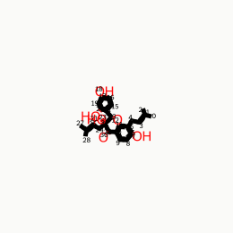 CC(C)=CCc1c(O)ccc2c1OC(c1ccc(O)cc1O)C(O)(CC=C(C)C)C2=O